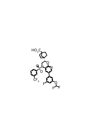 O=C(O)C12CCC([C@H]3CN(S(=O)(=O)c4cccc(C(F)(F)F)c4)c4cc(-c5cc(F)cc(OC(F)F)c5)cnc4O3)(CC1)C2